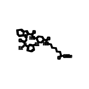 CCc1cccc(N(CC)C(=O)Cn2c(C(=O)NC3CCC(C(=O)NCCCCCC(=O)OC)CC3)cc3ccccc32)c1